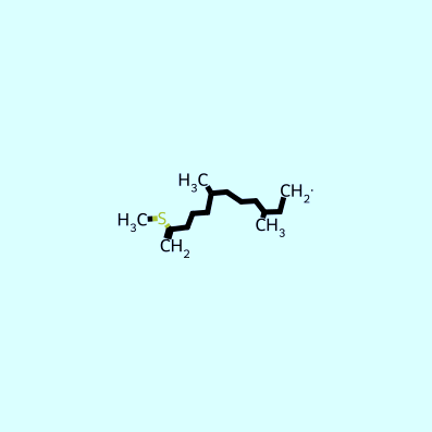 [CH2]CC(C)CCCC(C)CCCC(=C)SC